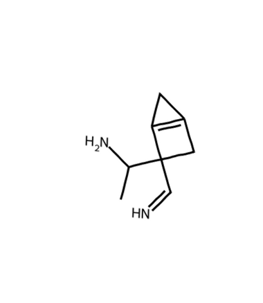 CC(N)C1(C=N)CC2=C1C2